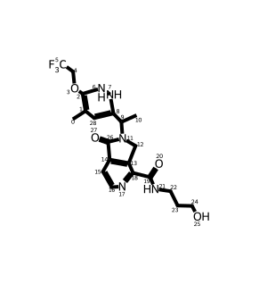 CC1=C(OCC(F)(F)F)NNC(C(C)N2Cc3c(ccnc3C(=O)NCCCO)C2=O)=C1